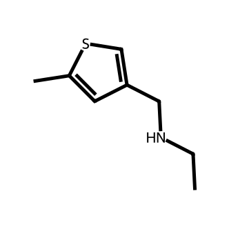 CCNCc1csc(C)c1